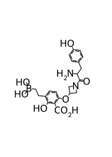 NC(Cc1ccc(O)cc1)C(=O)N1CC(Oc2ccc(CCB(O)O)c(O)c2C(=O)O)C1